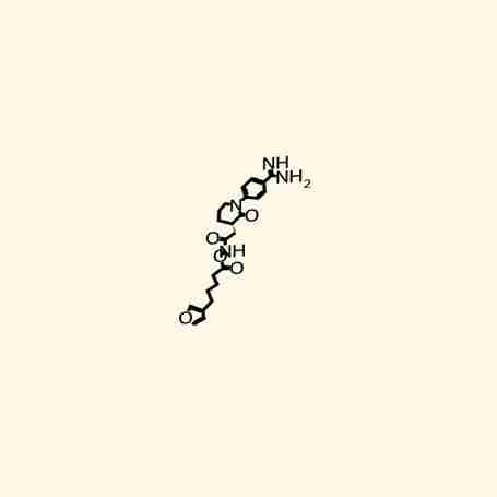 N=C(N)c1ccc(N2CCC[C@@H](CC(=O)NOC(=O)CCCCc3ccoc3)C2=O)cc1